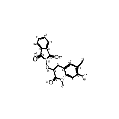 COC(=O)C(Cc1ccc(Cl)c(C)c1)ON1C(=O)c2ccccc2C1=O